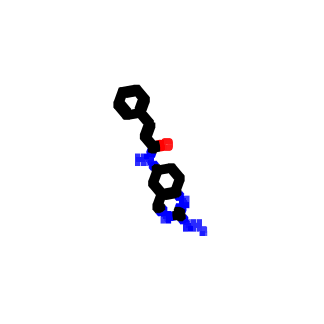 Nc1ncc2c(n1)CCC(NC(=O)C=Cc1ccccc1)C2